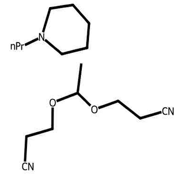 CC(OCCC#N)OCCC#N.CCCN1CCCCC1